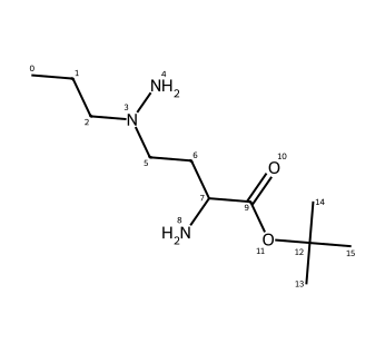 CCCN(N)CCC(N)C(=O)OC(C)(C)C